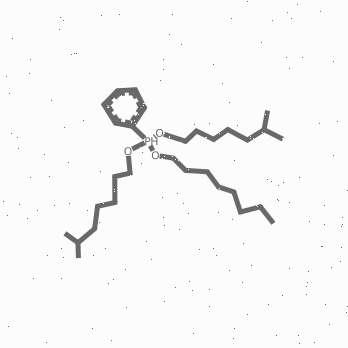 CCCCCCCCO[PH](OCCCCCC(C)C)(OCCCCCC(C)C)c1ccccc1